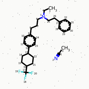 CC#N.CCN(CCCc1ccc(C2CCC(C(F)(F)F)CC2)cc1)CCc1ccccc1